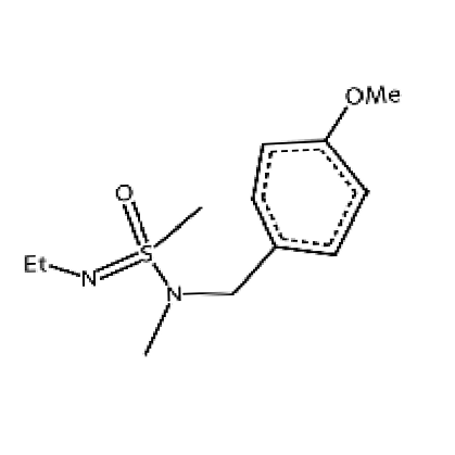 CCN=S(C)(=O)N(C)Cc1ccc(OC)cc1